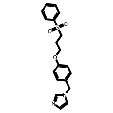 O=S(=O)(CCCOc1ccc(Cn2ccnc2)cc1)c1ccccc1